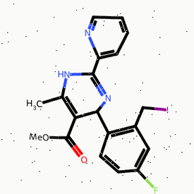 COC(=O)C1=C(C)NC(c2ccccn2)=NC1c1ccc(F)cc1CI